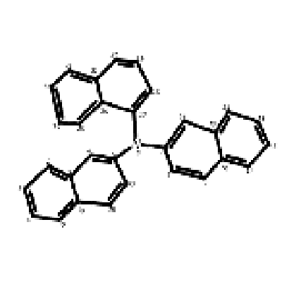 c1ccc2cc(N(c3ccc4ccccc4c3)c3cccc4ccccc34)ccc2c1